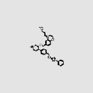 COCCCN1CCOc2ccc(CO[C@H]3CNCC[C@@H]3c3ccc(COC4CN(c5ccccc5)C4)cc3)cc21